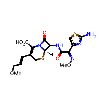 COC/C=C/C1=C(C(=O)O)N2C(=O)[C@@H](NC(=O)/C(=N\OC)c3csc(N)n3)[C@H]2SC1